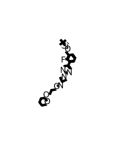 CC(C)(C)[Si](C)(C)OCc1cccc(-c2cnc(N3CC(=NOCCCOC4CCCCO4)C3)nc2)c1F